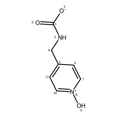 O=C([O-])NCc1cc[n+](O)cc1